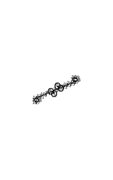 O=C(C=CC(=O)OCCCCCCc1ccccc1)OCCCCCCc1ccccc1